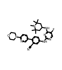 CN1C(C)(C)CC(Nc2nc(Nc3ccc(-c4ccc(N5CCOCC5)nc4)c(C#N)c3)ncc2F)CC1(C)C